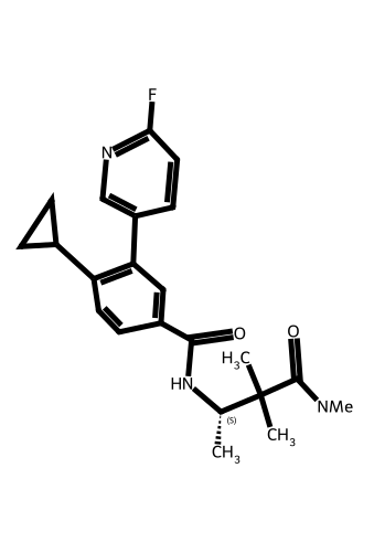 CNC(=O)C(C)(C)[C@H](C)NC(=O)c1ccc(C2CC2)c(-c2ccc(F)nc2)c1